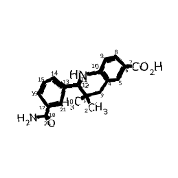 CC1(C)Cc2cc(C(=O)O)ccc2NC1c1cccc(C(N)=O)c1